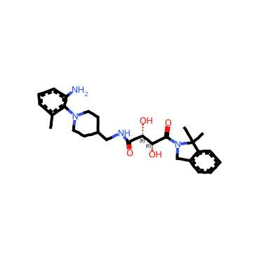 Cc1cccc(N)c1N1CCC(CNC(=O)[C@H](O)[C@@H](O)C(=O)N2Cc3ccccc3C2(C)C)CC1